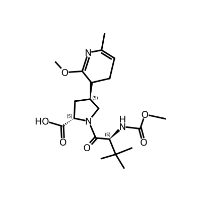 COC(=O)N[C@H](C(=O)N1C[C@H](C2CC=C(C)N=C2OC)C[C@H]1C(=O)O)C(C)(C)C